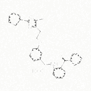 Cc1oc(-c2ccccc2)nc1CCOc1cccc([C@H](Nc2ccccc2C(=O)c2ccccc2)C(=O)O)c1